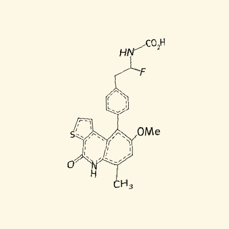 COc1cc(C)c2[nH]c(=O)c3sccc3c2c1-c1ccc(CC(F)NC(=O)O)cc1